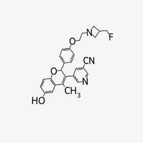 CC1=C(c2cncc(C#N)c2)C(c2ccc(OCCN3CC(CF)C3)cc2)Oc2ccc(O)cc21